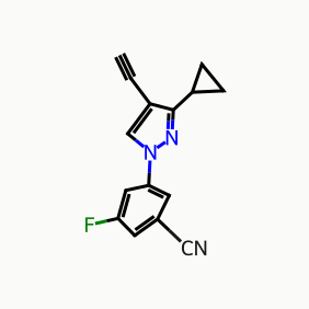 C#Cc1cn(-c2cc(F)cc(C#N)c2)nc1C1CC1